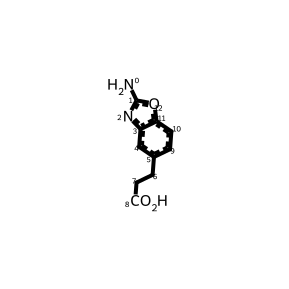 Nc1nc2cc(CCC(=O)O)ccc2o1